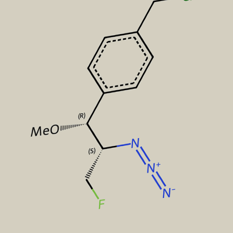 CO[C@H](c1ccc(CCl)cc1)[C@@H](CF)N=[N+]=[N-]